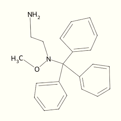 CON(CCN)C(c1ccccc1)(c1ccccc1)c1ccccc1